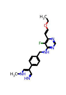 CCO/C=C/c1ncnc(NCc2ccc(/C(C=N)=C/NC)cc2)c1F